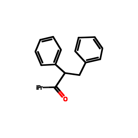 CC(C)C(=O)C(Cc1ccccc1)c1ccccc1